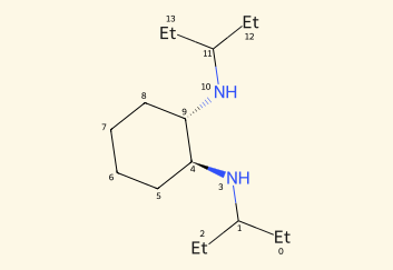 CCC(CC)N[C@H]1CCCC[C@@H]1NC(CC)CC